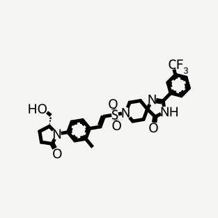 Cc1cc(N2C(=O)CC[C@@H]2CO)ccc1C=CS(=O)(=O)N1CCC2(CC1)N=C(c1cccc(C(F)(F)F)c1)NC2=O